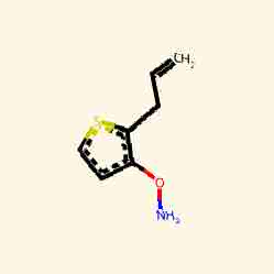 C=CCc1sccc1ON